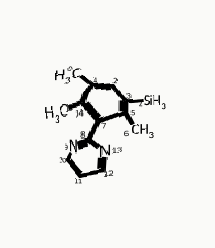 Cc1cc([SiH3])c(C)c(-c2ncccn2)c1C